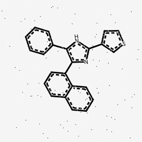 c1ccc(-c2[nH]c(-c3ccsc3)nc2-c2cccc3ccccc23)cc1